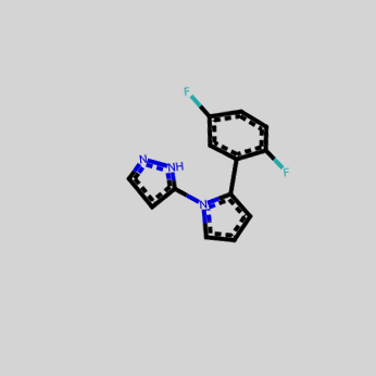 Fc1ccc(F)c(-c2cccn2-c2ccn[nH]2)c1